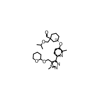 Cc1nc(-c2nnn(C)c2COC2CCCCO2)ccc1O[C@H]1CCCC(C=O)(COC(C)C)C1